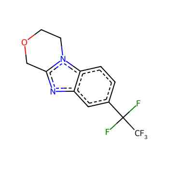 FC(F)(F)C(F)(F)c1ccc2c(c1)nc1n2CCOC1